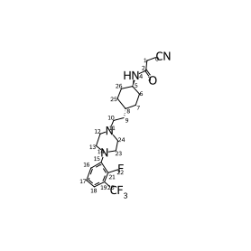 N#CCC(=O)N[C@H]1CC[C@H](CCN2CCN(c3cccc(C(F)(F)F)c3F)CC2)CC1